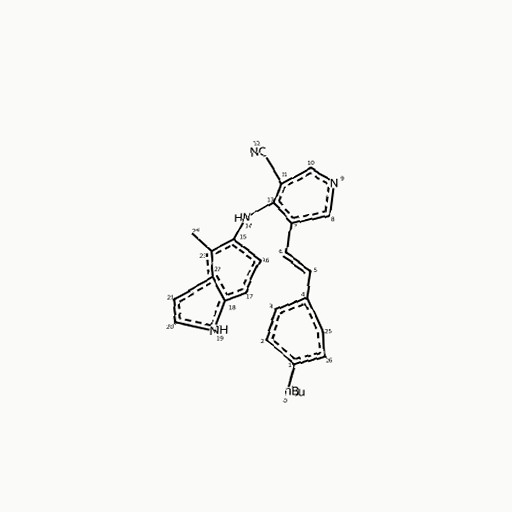 CCCCc1ccc(C=Cc2cncc(C#N)c2Nc2ccc3[nH]ccc3c2C)cc1